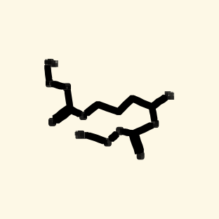 CCC(CCCOC(=O)OOC(C)(C)C)OC(=O)OOC(C)(C)C